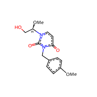 COc1ccc(Cn2c(=O)ccn([C@@H](CO)OC)c2=O)cc1